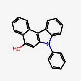 Oc1cc2c(c3ccccc13)c1ccccc1n2-c1ccccc1